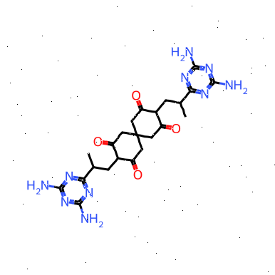 CC(CC1C(=O)CC2(CC1=O)CC(=O)C(CC(C)c1nc(N)nc(N)n1)C(=O)C2)c1nc(N)nc(N)n1